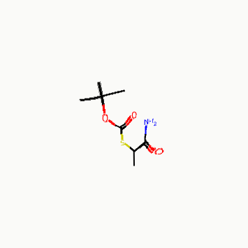 CC(SC(=O)OC(C)(C)C)C(N)=O